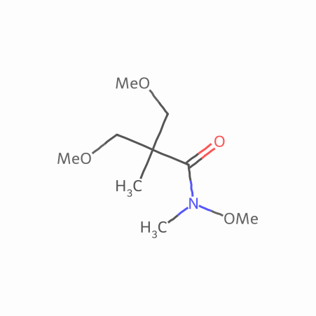 COCC(C)(COC)C(=O)N(C)OC